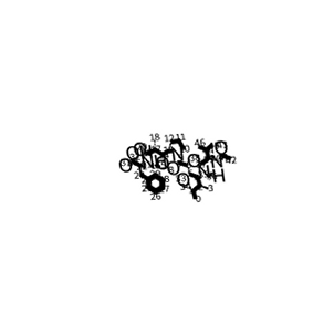 CC[C@H](C)C([C@@H](CC(=O)N1CCC[C@H]1[C@H](OC)[C@@H](C)C(=O)N[C@@H](Cc1ccccc1)C(=O)O)OC)N(C)C(=O)[C@@H](NC(C)=O)C(C)C